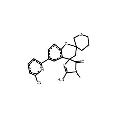 CN1C(=O)C2(CC3(CCCOC3)Oc3ccc(-c4cccc(C#N)n4)cc32)N=C1N